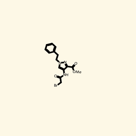 COC(=O)c1nn(CCc2ccccc2)cc1NC(=O)CBr